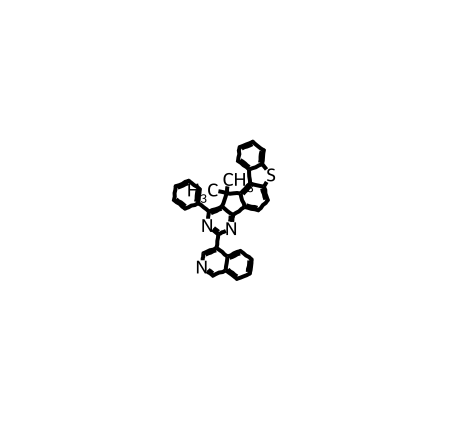 CC1(C)c2c(-c3ccccc3)nc(-c3cncc4ccccc34)nc2-c2ccc3sc4ccccc4c3c21